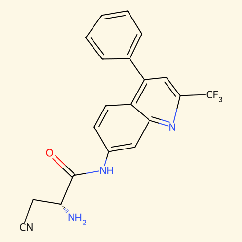 N#CC[C@@H](N)C(=O)Nc1ccc2c(-c3ccccc3)cc(C(F)(F)F)nc2c1